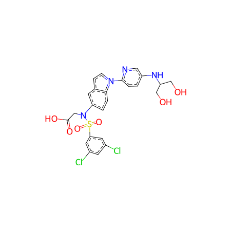 O=C(O)CN(c1ccc2c(ccn2-c2ccc(NC(CO)CO)cn2)c1)S(=O)(=O)c1cc(Cl)cc(Cl)c1